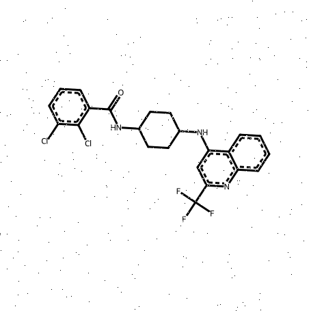 O=C(NC1CCC(Nc2cc(C(F)(F)F)nc3ccccc23)CC1)c1cccc(Cl)c1Cl